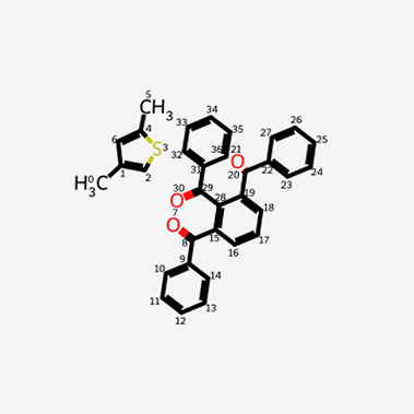 Cc1csc(C)c1.O=C(c1ccccc1)c1cccc(C(=O)c2ccccc2)c1C(=O)c1ccccc1